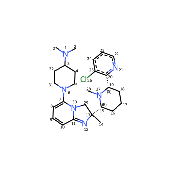 CN(C)C1CCN(C2=CC=CC3=NC(C)([C@H]4CCC[C@@H](c5ncccc5Cl)N4C)CN23)CC1